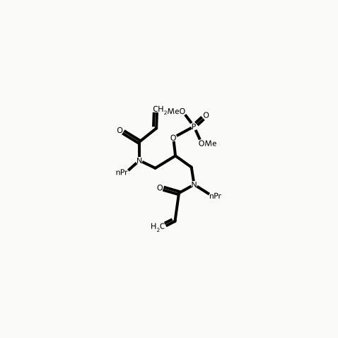 C=CC(=O)N(CCC)CC(CN(CCC)C(=O)C=C)OP(=O)(OC)OC